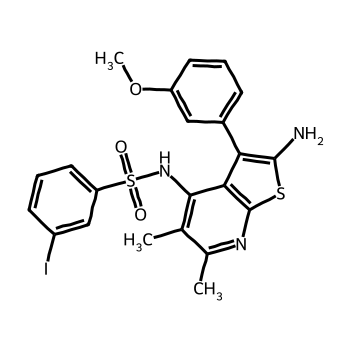 COc1cccc(-c2c(N)sc3nc(C)c(C)c(NS(=O)(=O)c4cccc(I)c4)c23)c1